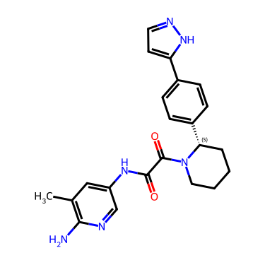 Cc1cc(NC(=O)C(=O)N2CCCC[C@H]2c2ccc(-c3ccn[nH]3)cc2)cnc1N